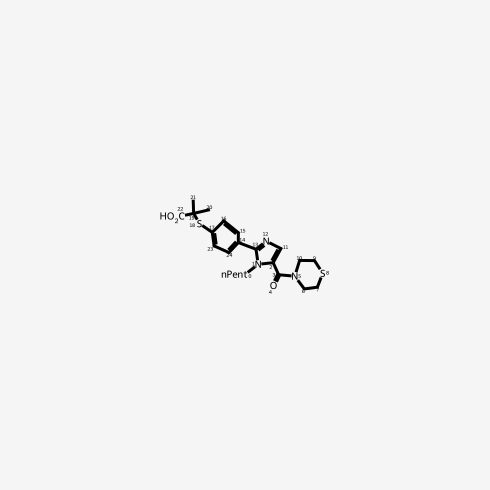 CCCCCn1c(C(=O)N2CCSCC2)cnc1-c1ccc(SC(C)(C)C(=O)O)cc1